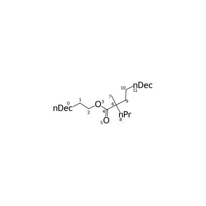 CCCCCCCCCCCCOC(=O)C(C)(CCC)CCCCCCCCCCCC